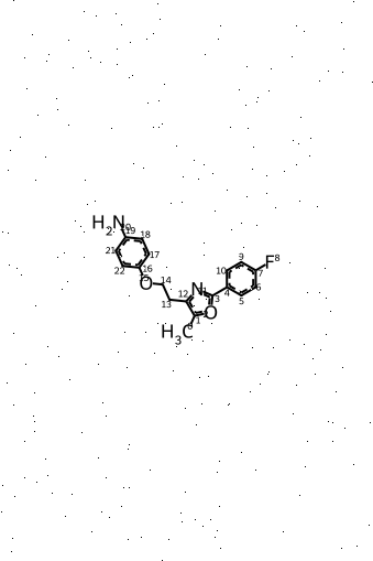 Cc1oc(-c2ccc(F)cc2)nc1CCOc1ccc(N)cc1